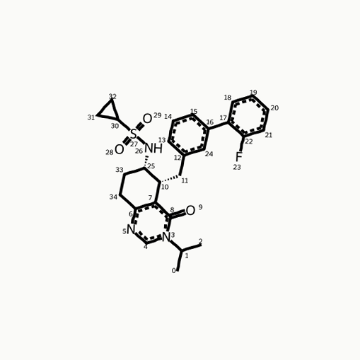 CC(C)n1cnc2c(c1=O)[C@@H](Cc1cccc(-c3ccccc3F)c1)[C@@H](NS(=O)(=O)C1CC1)CC2